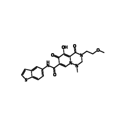 COCCN1CN(C)n2cc(C(=O)Nc3ccc4sccc4c3)c(=O)c(O)c2C1=O